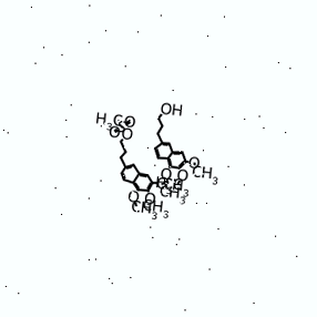 COc1cc2cc(CCCO)ccc2c(OC)c1OC.COc1cc2cc(CCCOS(C)(=O)=O)ccc2c(OC)c1OC